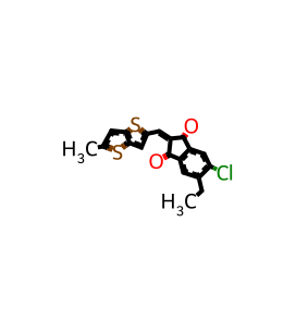 CCc1cc2c(cc1Cl)C(=O)/C(=C/c1cc3sc(C)cc3s1)C2=O